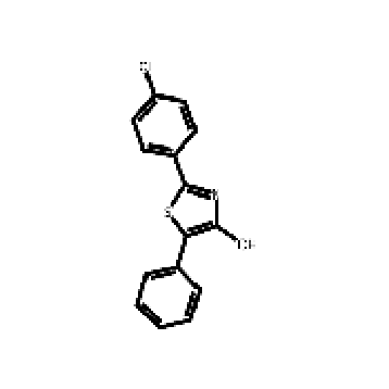 Oc1nc(-c2ccc(Cl)cc2)sc1-c1ccccc1